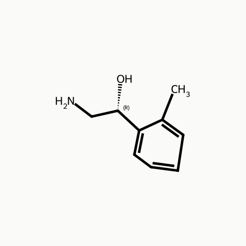 Cc1ccccc1[C@@H](O)CN